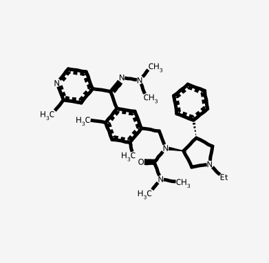 CCN1C[C@@H](N(Cc2cc(/C(=N\N(C)C)c3ccnc(C)c3)c(C)cc2C)C(=O)N(C)C)[C@H](c2ccccc2)C1